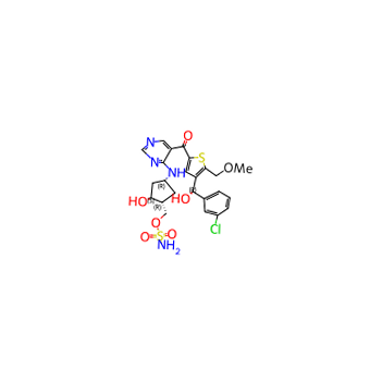 COCc1sc(C(=O)c2cncnc2N[C@@H]2C[C@H](COS(N)(=O)=O)[C@@H](O)C2)cc1[C@H](O)c1cccc(Cl)c1